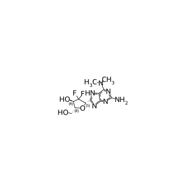 CN(C)c1nc(N)nc2nc([C@@H]3O[C@H](CO)[C@@H](O)C3(F)F)[nH]c12